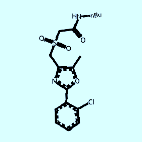 CCCCNC(=O)CS(=O)(=O)Cc1nc(-c2ccccc2Cl)oc1C